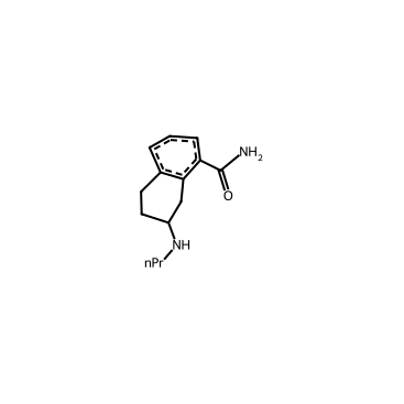 CCCNC1CCc2cccc(C(N)=O)c2C1